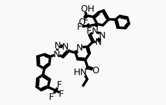 CCNC(=O)c1cc(-c2cn(-c3cccc(-c4cccc(C(F)(F)F)c4)c3)nn2)nc(-c2cn(C3(C(F)(F)F)CC(c4ccccc4)=CC=C3C(=O)O)nn2)c1